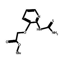 CC(C)(C)OC(=O)COc1cccnc1NC(N)=S